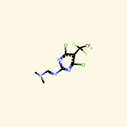 CN(C)C=Nc1nc(Cl)c(C(F)(F)C(F)(F)F)c(Cl)n1